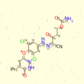 CC(C)c1cc(Oc2c(Cl)cc(N/N=C(/C#N)C(=O)CCOC(N)=O)cc2Cl)n[nH]c1=O